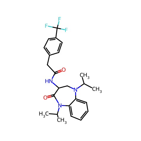 CC(C)N1CC(NC(=O)Cc2ccc(C(F)(F)F)cc2)C(=O)N(C(C)C)c2ccccc21